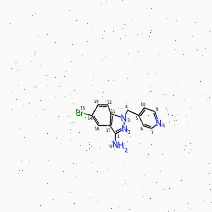 Nc1nn(Cc2ccncc2)c2ccc(Br)cc12